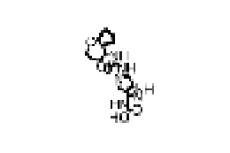 O=C(O)Nc1n[nH]c2cc(NC(=O)N[C@H]3c4ccccc4OCC[C@H]3O)ncc12